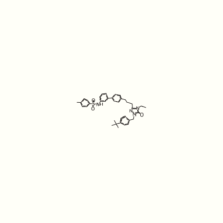 CCn1c(CCCc2ccc(-c3cccc(NS(=O)(=O)c4ccc(C)cc4)c3)cc2)nn(Cc2ccc(C(C)(C)C)cc2)c1=O